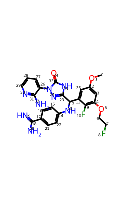 COc1cc(OCCF)c(F)c(C(Nc2ccc(C(=N)N)cc2)c2nn(-c3cccnc3N)c(=O)[nH]2)c1